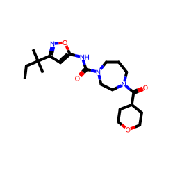 CCC(C)(C)c1cc(NC(=O)N2CCCN(C(=O)C3CCOCC3)CC2)on1